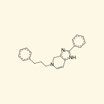 C1=CN(CCCc2ccccc2)Cc2nc(-c3ccccc3)[nH]c21